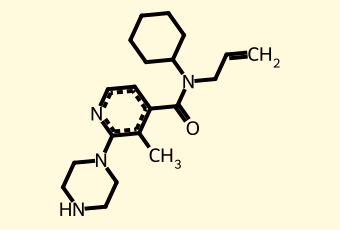 C=CCN(C(=O)c1ccnc(N2CCNCC2)c1C)C1CCCCC1